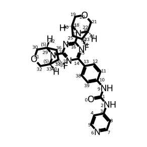 O=C(Nc1ccncc1)Nc1ccc(-c2nc(N3[C@@H]4COC[C@H]3[C@@H](F)C4)nc(N3[C@@H]4COC[C@H]3[C@@H](F)C4)n2)cc1